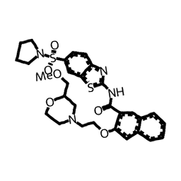 COCC1CN(CCOc2cc3ccccc3cc2C(=O)Nc2nc3ccc(S(=O)(=O)N4CCCC4)cc3s2)CCO1